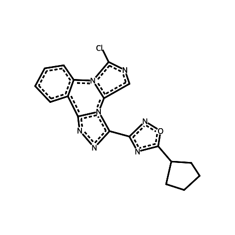 Clc1ncc2n1c1ccccc1c1nnc(-c3noc(C4CCCC4)n3)n12